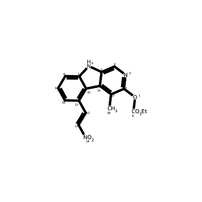 CCOC(=O)Oc1ncc2[nH]c3cccc(C=C[N+](=O)[O-])c3c2c1C